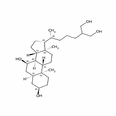 C[C@H](CCCC(CO)CO)[C@H]1CC[C@H]2[C@@H]3[C@H](O)C[C@@H]4C[C@H](O)CC[C@]4(C)[C@H]3CC[C@]12C